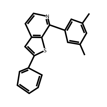 Cc1cc(C)cc(-c2nccc3cc(-c4ccccc4)sc23)c1